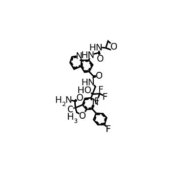 C[C@]1(C(N)=O)COc2c1cc(C(O)(CNC(=O)c1cc(NC(=O)NC3COC3)c3ncccc3c1)C(F)(F)F)nc2-c1ccc(F)cc1